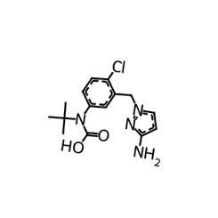 CC(C)(C)N(C(=O)O)c1ccc(Cl)c(Cn2ccc(N)n2)c1